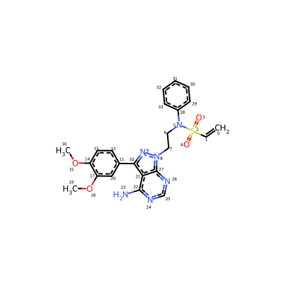 C=CS(=O)(=O)N(CCn1nc(-c2ccc(OC)c(OC)c2)c2c(N)ncnc21)c1ccccc1